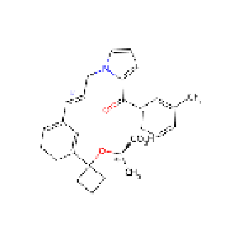 C[C@@H](OC1(C2=CC(/C=C/Cn3cccc3C(=O)c3cccc(C(F)(F)F)c3)=CCC2)CCC1)C(=O)O